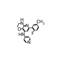 Cc1ccc(F)c(-c2cc(Nc3ccncc3)c3c(n2)NCCO3)c1